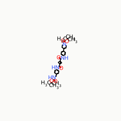 CC(C)(C)OC(=O)NCc1ccc(NC(=O)C23CC(C(=O)Nc4ccc(C5=CCN(C(=O)OC(C)(C)C)CC5)cc4)(C2)C3)cc1